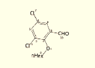 CCCCCCOc1c(Cl)cc(Cl)cc1C=O